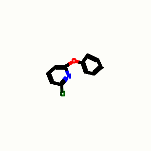 Clc1cccc(Oc2cc[c]cc2)n1